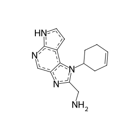 NCc1nc2cnc3[nH]ccc3c2n1C1CC=CCC1